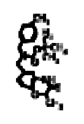 Cc1ccc(CN(Cc2ccc3c(c2)NC(=S)C(C)O3)C(=O)OC(C)(C)C)cc1